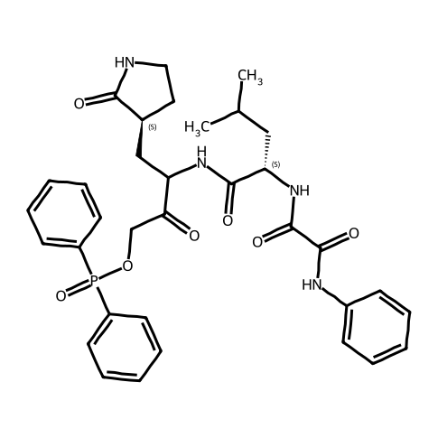 CC(C)C[C@H](NC(=O)C(=O)Nc1ccccc1)C(=O)NC(C[C@@H]1CCNC1=O)C(=O)COP(=O)(c1ccccc1)c1ccccc1